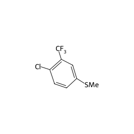 CSc1ccc(Cl)c(C(F)(F)F)c1